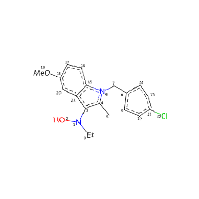 CCN(O)c1c(C)n(Cc2ccc(Cl)cc2)c2ccc(OC)cc12